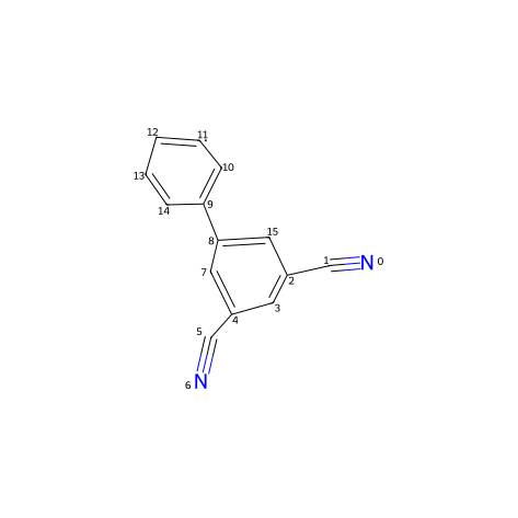 N#Cc1cc(C#N)cc(-c2c[c]ccc2)c1